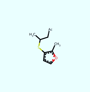 CC(=O)CC(C)Sc1ccoc1C